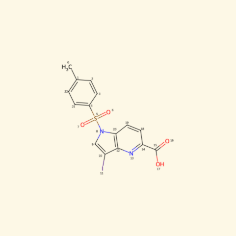 Cc1ccc(S(=O)(=O)n2cc(I)c3nc(C(=O)O)ccc32)cc1